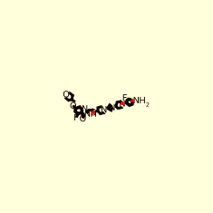 Nc1ccc(N2CCC(N3CC(N4CCC(SCc5nc6cc(OCC7CCOCC7)cc(F)c6c(=O)[nH]5)CC4)C3)CC2)c(F)c1